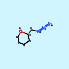 [N-]=[N+]=NC[C@@H]1CCCCO1